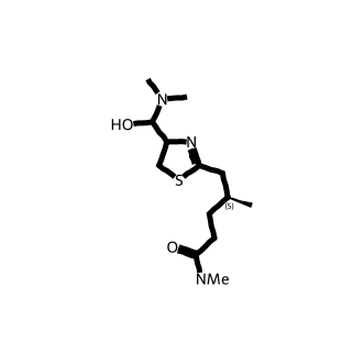 CNC(=O)CC[C@H](C)CC1=NC(C(O)N(C)C)CS1